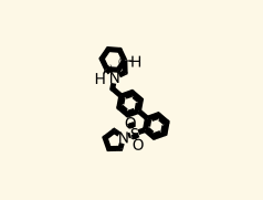 O=S(=O)(c1ccccc1-c1ccc(CN2C[C@@H]3CCC[C@H]2C3)cc1)N1CCCC1